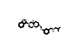 CC(C)CNCc1cccc(OC[C@@H]2CC[C@@H]3CN(c4noc5ccccc45)CCN3C2)c1